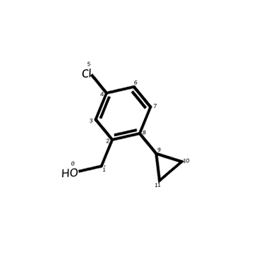 O[CH]c1cc(Cl)ccc1C1CC1